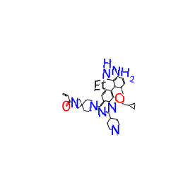 C=CC(=O)N1CC2(CCN(c3nc(C4CCN(C)CC4)nc4c(OCC5CC5)c(C5C(C=N)=C(N)C=CC5C)c(CC)cc34)CC2)C1